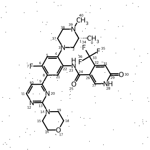 C[C@@H]1CN(c2cc(F)c(-c3ccnc(N4CCOCC4)n3)cc2NC(=O)c2c[nH]c(=O)cc2C(F)(F)F)CCN1C